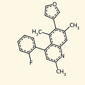 Cc1cc(-c2ccccc2F)c2c(C)c(-c3ccoc3)c(C)cc2n1